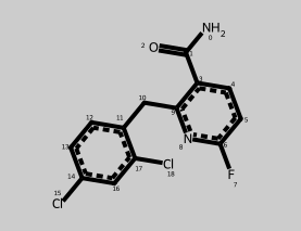 NC(=O)c1ccc(F)nc1Cc1ccc(Cl)cc1Cl